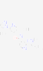 CC=C(NCC)c1nccc2c1CN(C(C)c1cnc(-n3cccn3)c(C)c1)C2=O